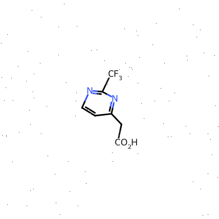 O=C(O)Cc1ccnc(C(F)(F)F)n1